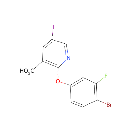 O=C(O)c1cc(I)cnc1Oc1ccc(Br)c(F)c1